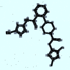 Cc1cc(C)n(CC(=O)N2CCN(c3ccccc3C(=O)Nc3nnc(C(C)(C)C)s3)CC2)n1